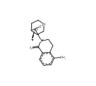 Cc1cccc2c1CCN([C@H]1CN3CCC1CC3)C2=O